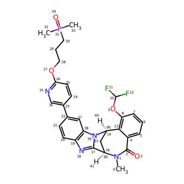 CN1C(=O)c2cccc(OC(F)F)c2[C@H]2C[C@@H]1c1nc3ccc(-c4ccc(OCCCP(C)(C)=O)nc4)cc3n12